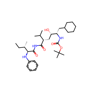 CC[C@H](C)[C@H](Nc1ccccc1)C(=O)NC(=O)[C@@H](C[C@H](O)[C@H](CC1CCCCC1)NC(=O)OC(C)(C)C)C(C)C